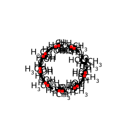 CC1O[C@@H]2O[C@@H]3C(C)O[C@H](O[C@@H]4C(C)O[C@H](O[C@@H]5C(C)O[C@@H](OC6(C)C(C)O[C@H](O[C@@H]7C(C)O[C@H](O[C@@H]8C(C)O[C@H](O[C@@H]9C(C)O[C@H](O[C@@H]%10C(C)O[C@H](O[C@H]1[C@H](O)C2O)C(O)[C@H]%10O)C(O)[C@H]9O)C(O)[C@H]8O)C(O)[C@H]7O)C(O)[C@H]6O)C(O)[C@H]5O)C(O)[C@H]4O)C(O)[C@H]3O